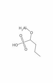 CCCC([O][AlH2])S(=O)(=O)O